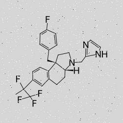 CC(F)(c1ccc2c(c1)CC[C@H]1N(Cc3ncc[nH]3)CC[C@@]21Cc1ccc(F)cc1)C(F)(F)F